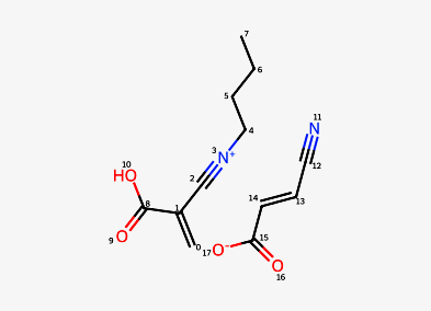 C=C(C#[N+]CCCC)C(=O)O.N#CC=CC(=O)[O-]